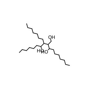 CCCCCCCC(O)C(CO)C(CCCCCCC)C(O)CCCCCC